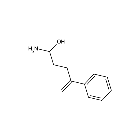 C=C(CCC(N)O)c1ccccc1